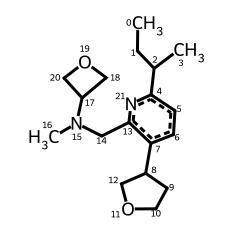 CCC(C)c1ccc(C2CCOC2)c(CN(C)C2COC2)n1